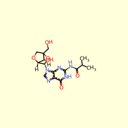 CC(C)C(=O)Nc1nc2c(ncn2[C@@H]2OC3(CO)CO[C@@H]2[C@@H]3O)c(=O)[nH]1